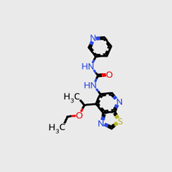 CCOC(C)c1c(NC(=O)Nc2cccnc2)cnc2scnc12